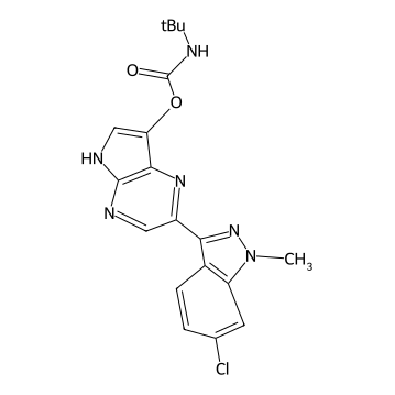 Cn1nc(-c2cnc3[nH]cc(OC(=O)NC(C)(C)C)c3n2)c2ccc(Cl)cc21